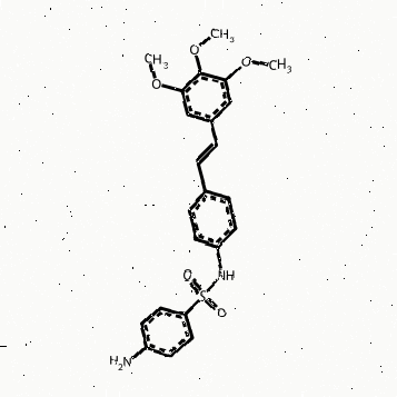 COc1cc(C=Cc2ccc(NS(=O)(=O)c3ccc(N)cc3)cc2)cc(OC)c1OC